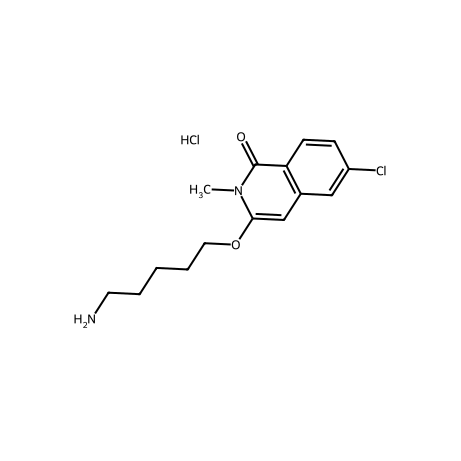 Cl.Cn1c(OCCCCCN)cc2cc(Cl)ccc2c1=O